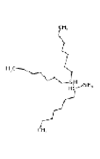 CCCCCCC[SiH]([SiH3])[SiH](CCCCCCC)CCCCCCC